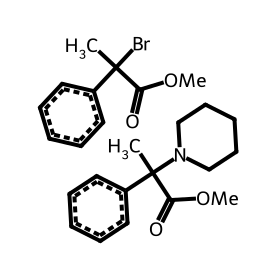 COC(=O)C(C)(Br)c1ccccc1.COC(=O)C(C)(c1ccccc1)N1CCCCC1